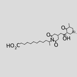 CC1C[C@H](C)CC([C@H](O)CC2CC(=O)N(C(C)CCCCCCCCCC(=O)O)C(=O)C2)C1=O